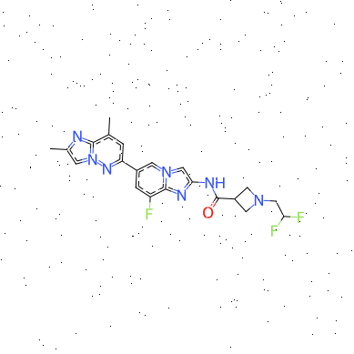 Cc1cn2nc(-c3cc(F)c4nc(NC(=O)C5CN(CC(F)F)C5)cn4c3)cc(C)c2n1